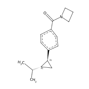 CC(C)[C@H]1C[C@@H]1c1ccc(C(=O)N2CCC2)cc1